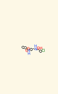 O=S(=O)(Nc1ccc(CCNCC(O)c2cccc(Cl)c2)cc1)c1ccc2ccccc2c1